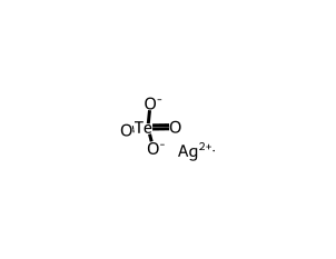 O=[Te](=O)([O-])[O-].[Ag+2]